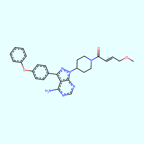 COC/C=C/C(=O)N1CCC(n2nc(-c3ccc(Oc4ccccc4)cc3)c3c(N)ncnc32)CC1